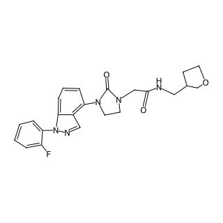 O=C(CN1CCN(c2cccc3c2cnn3-c2ccccc2F)C1=O)NCC1CCOC1